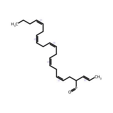 C/C=C/C(C/C=C\C/C=C\C/C=C\C/C=C\C/C=C\CCC)P=O